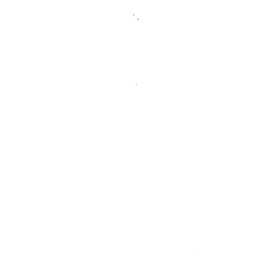 CC(CCC(C)(C)c1cncc(F)c1)Cc1ccc(F)cc1